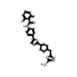 Cc1nnc(CC2CCC(c3ncc(-c4ccc(NC(=O)c5c(F)cccc5F)cc4)s3)CC2)o1